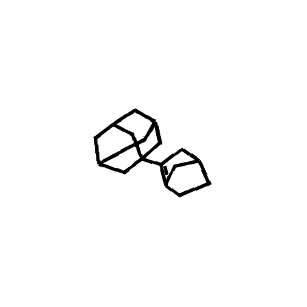 C1CC2CC1=C(C13CC4CC(CC(C4)C1)C3)C2